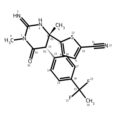 CN1C(=N)N[C@](C)(c2ccc(C#N)s2)[C@H](c2ccc(C(C)(F)F)cc2)C1=O